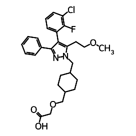 COCCc1c(-c2cccc(Cl)c2F)c(-c2ccccc2)nn1CC1CCC(COCC(=O)O)CC1